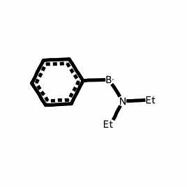 CCN([B]c1ccccc1)CC